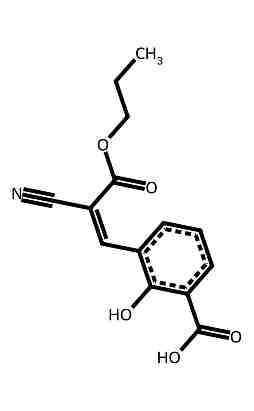 CCCOC(=O)C(C#N)=Cc1cccc(C(=O)O)c1O